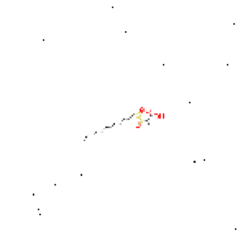 CCCCCCCCCCCC[S+]([O-])[S+]([O-])C(C)C(=O)O